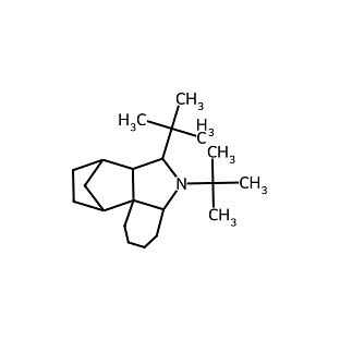 CC(C)(C)C1C2C3CCC(C3)C23CCCCC3N1C(C)(C)C